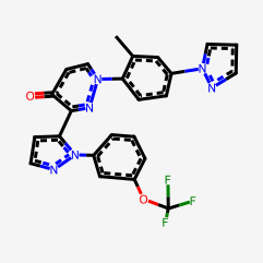 Cc1cc(-n2cccn2)ccc1-n1ccc(=O)c(-c2ccnn2-c2cccc(OC(F)(F)F)c2)n1